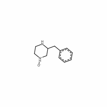 [O-][NH+]1CCNC(Cc2ccccc2)C1